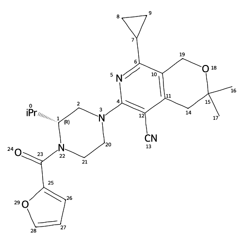 CC(C)[C@@H]1CN(c2nc(C3CC3)c3c(c2C#N)CC(C)(C)OC3)CCN1C(=O)c1ccco1